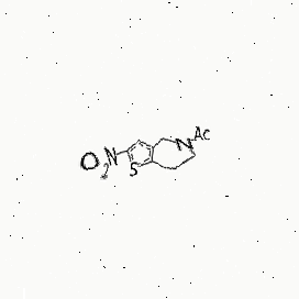 CC(=O)N1CCc2sc([N+](=O)[O-])cc2C1